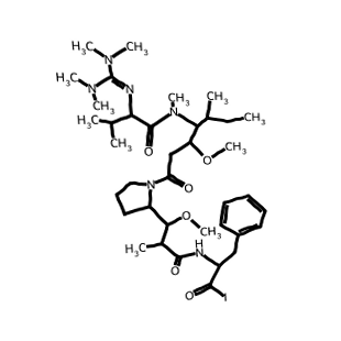 CCC(C)C(C(CC(=O)N1CCCC1C(OC)C(C)C(=O)NC(Cc1ccccc1)C(=O)I)OC)N(C)C(=O)C(N=C(N(C)C)N(C)C)C(C)C